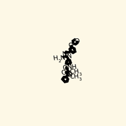 Cc1c(C(=O)Nc2ccc(-c3nc(-c4cccc(OC5CCOCC5)c4)cnc3N)cc2)c(=O)n(-c2ccccc2)n1C